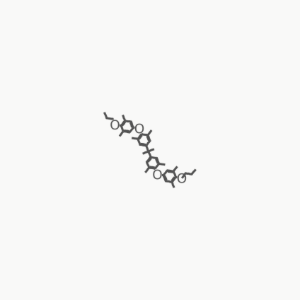 CCCOc1c(C)cc(Oc2c(C)cc(C(C)(C)c3cc(C)c(Oc4cc(C)c(OCCC)c(C)c4)c(C)c3)cc2C)cc1C